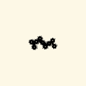 c1ccc(-n2c3ccccc3c3cc4c(cc32)c2cccc3c5cc6c(cc5n4c23)c2cccc3c4cc5c7ccccc7n(-c7ccccc7)c5cc4n6c23)cc1